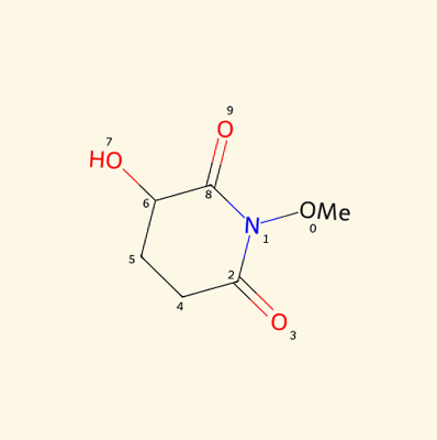 CON1C(=O)CCC(O)C1=O